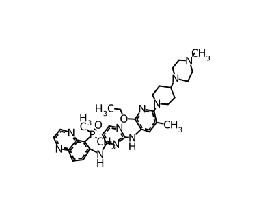 CCOc1nc(N2CCC(N3CCN(C)CC3)CC2)c(C)cc1Nc1nccc(Nc2ccc3nccnc3c2P(C)(C)=O)n1